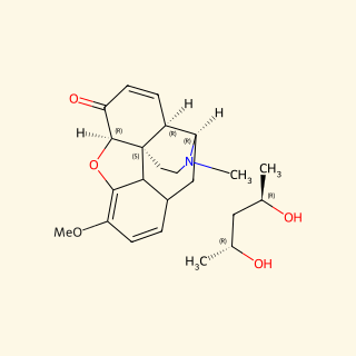 COC1=C2O[C@H]3C(=O)C=C[C@H]4[C@H]5CC(C=C1)C2[C@@]34CCN5C.C[C@@H](O)C[C@@H](C)O